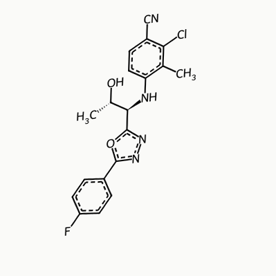 Cc1c(N[C@@H](c2nnc(-c3ccc(F)cc3)o2)[C@H](C)O)ccc(C#N)c1Cl